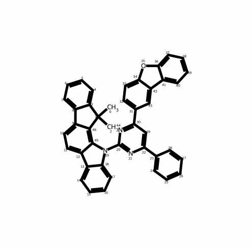 CC1(C)c2ccccc2-c2ccc3c4ccccc4n(-c4nc(-c5ccccc5)cc(-c5ccc6oc7ccccc7c6c5)n4)c3c21